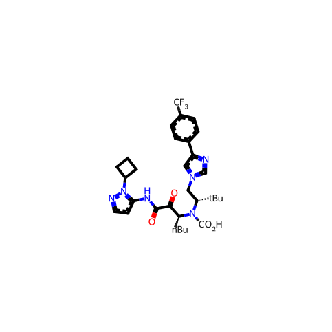 CCCC[C@@H](C(=O)C(=O)Nc1ccnn1C1CCC1)N(C(=O)O)[C@H](Cn1cnc(-c2ccc(C(F)(F)F)cc2)c1)C(C)(C)C